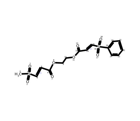 CS(=O)(=O)/C=C/C(=O)OCCOC(=O)/C=C/S(=O)(=O)c1ccccc1